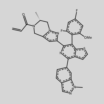 C=CC(=O)N1Cc2cc(-c3nc(-c4ccc5cnn(C)c5c4)c4ccsc4c3-c3c(F)cc(F)cc3OC)nn2C[C@H]1C